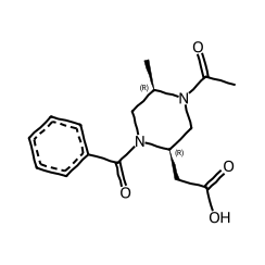 CC(=O)N1C[C@@H](CC(=O)O)N(C(=O)c2ccccc2)C[C@H]1C